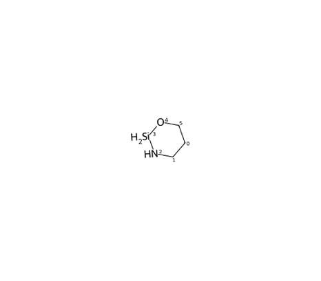 C1CN[SiH2]OC1